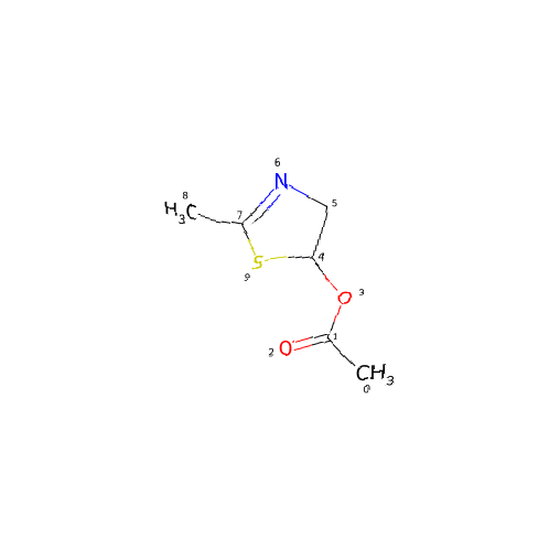 CC(=O)OC1CN=C(C)S1